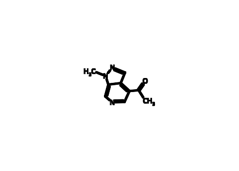 CC(=O)c1cncc2c1cnn2C